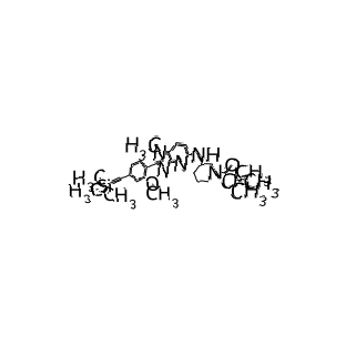 COc1cc(C#C[Si](C)(C)C)ccc1-c1nc2nc(N[C@@H]3CCCN(C(=O)OC(C)(C)C)C3)ccc2n1C